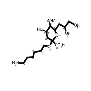 CC(=O)NC1C(CC(O)CO)OC(OCCCCCCN)(C(=O)O)C[C@H]1O